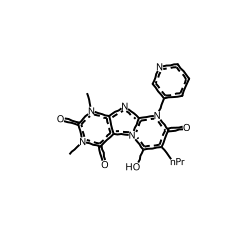 CCCc1c(O)n2c3c(=O)n(C)c(=O)n(C)c3nc2n(-c2cccnc2)c1=O